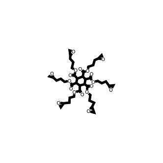 O=C(OCCCC1CO1)C1C(C(=O)OCCCC2CO2)C(C(=O)OCCCC2CO2)C(C(=O)OCCCC2CO2)C(C(=O)OCCCC2CO2)C1C(=O)OCCCC1CO1